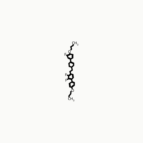 CCCCOc1ccc(-c2ccc(CCC3CC=C(c4ccc(OCCCC)c(F)c4)CC3)c(F)c2F)cc1